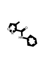 Cc1conc1C(=O)Nc1[c]cccc1